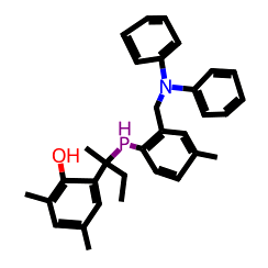 CCC(C)(Pc1ccc(C)cc1CN(c1ccccc1)c1ccccc1)c1cc(C)cc(C)c1O